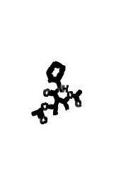 CC(=O)OC(C)C(C(=O)Nc1ccccc1)C(C)OC(C)=O